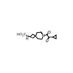 O=C(O)NC1CC2(CCN(C(=O)C(=O)C3CC3)CC2)C1